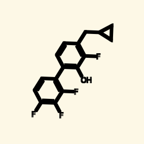 Oc1c(-c2ccc(F)c(F)c2F)ccc(CC2CC2)c1F